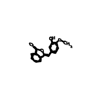 COc1ccc(C=C2OC(=O)c3ccccc32)cc1O